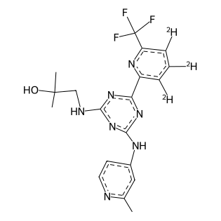 [2H]c1c(-c2nc(NCC(C)(C)O)nc(Nc3ccnc(C)c3)n2)nc(C(F)(F)F)c([2H])c1[2H]